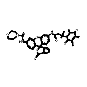 CC1=C(C)C(=O)C(C(C)(C)CC(=O)Nc2ccc3c(c2)Oc2cc(NC(=O)N4CCOCC4)ccc2C32OC(=O)c3ccccc32)=C(C)C1=O